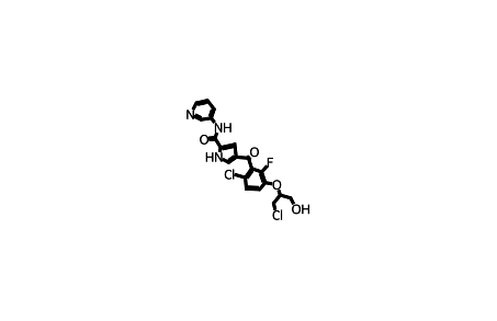 O=C(Nc1cccnc1)c1cc(C(=O)c2c(Cl)ccc(OC(CO)CCl)c2F)c[nH]1